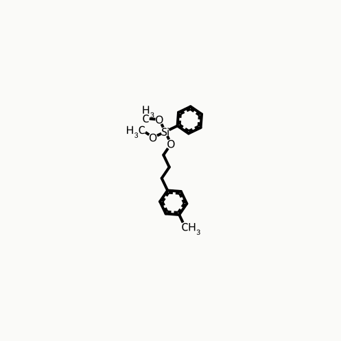 CO[Si](OC)(OCCCc1ccc(C)cc1)c1ccccc1